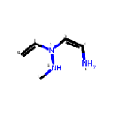 C=CN(/C=C\N)NC